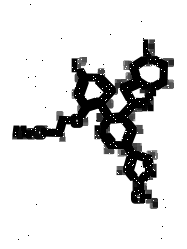 COCCOc1cc(F)ccc1-c1ncc(-c2cnn(C)c2)cc1-c1cc2n(n1)CCNC2